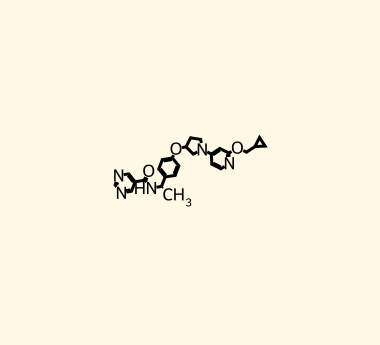 C[C@H](NC(=O)c1cncnc1)c1ccc(OC2CCN(c3ccnc(OCC4CC4)c3)C2)cc1